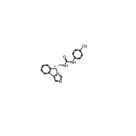 N#Cc1ccc(NC(=O)NC[C@H]2c3ccccc3-c3cncn32)cc1